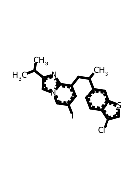 CC(C)c1cn2cc(I)cc(CC(C)c3ccc4c(Cl)csc4c3)c2n1